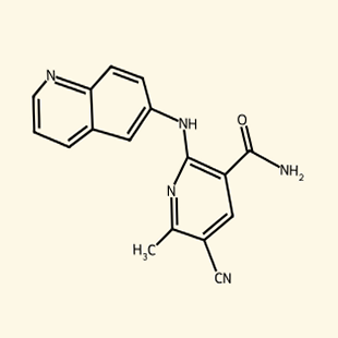 Cc1nc(Nc2ccc3ncccc3c2)c(C(N)=O)cc1C#N